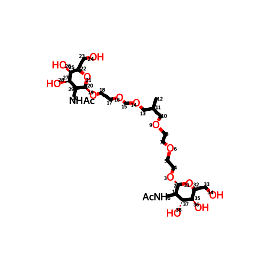 CC(=O)NC1[C@H](OCCOCCOCC(C)COCOCCO[C@@H]2OC(CO)[C@H](O)[C@H](O)C2NC(C)=O)OC(CO)[C@H](O)[C@@H]1O